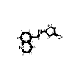 O=C1CSC(N=Cc2cccc3ncccc23)C1